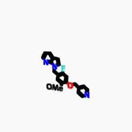 COc1cc(Cn2ccc3cccnc32)c(F)cc1OCc1ccncc1